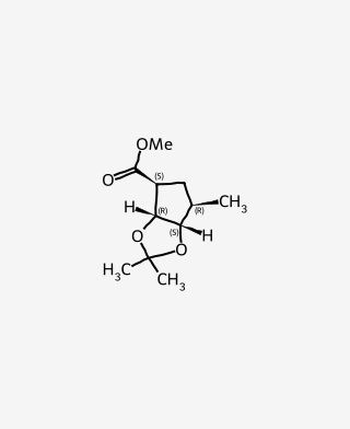 COC(=O)[C@H]1C[C@@H](C)[C@@H]2OC(C)(C)O[C@@H]21